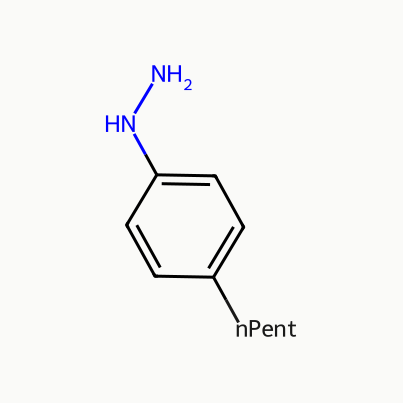 CCCCCc1ccc(NN)cc1